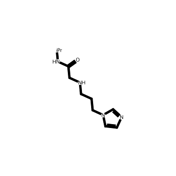 CC(C)NC(=O)CNCCCn1ccnc1